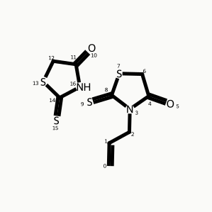 C=CCN1C(=O)CSC1=S.O=C1CSC(=S)N1